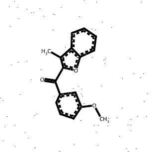 COc1cccc(C(=O)c2oc3ccccc3c2C)c1